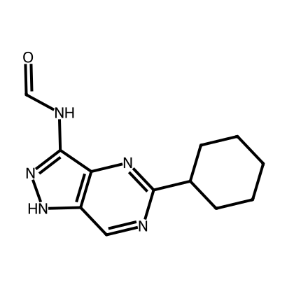 O=CNc1n[nH]c2cnc(C3CCCCC3)nc12